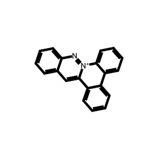 c1ccc2n[n+]3c4ccccc4c4ccccc4c3cc2c1